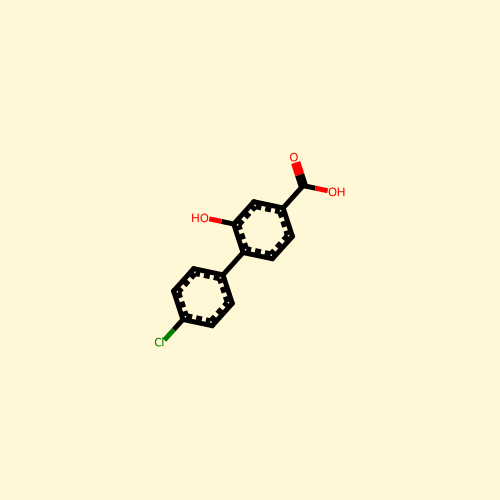 O=C(O)c1ccc(-c2ccc(Cl)cc2)c(O)c1